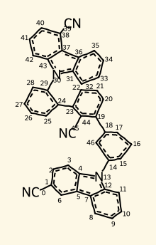 N#Cc1ccc2c(c1)c1ccccc1n2-c1cccc(-c2cccc(-c3ccccc3-n3c4ccccc4c4c(C#N)cccc43)c2C#N)c1